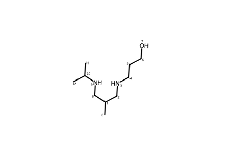 CC(CNCCCO)CNC(C)C